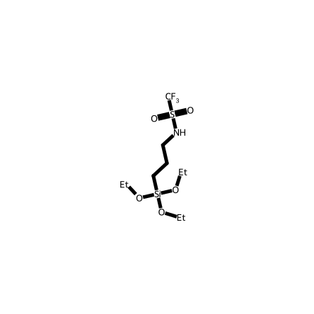 CCO[Si](CCCNS(=O)(=O)C(F)(F)F)(OCC)OCC